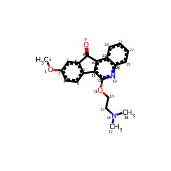 COc1ccc2c(c1)C(=O)c1c-2c(OCCN(C)C)nc2ccccc12